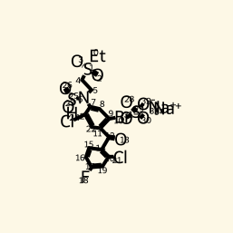 CCS(=O)(=O)CCN(c1cc(Br)c(C(=O)c2ccc(F)cc2Cl)cc1Cl)[SH](=O)=O.O=S(=O)([O-])[O-].[Na+].[Na+]